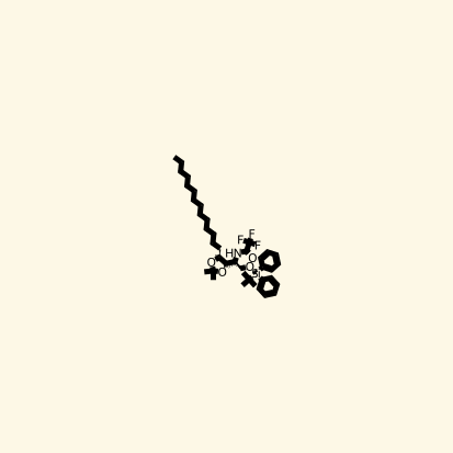 CCCCCCCCCCCCCC[C@H]1OC(C)(C)O[C@H]1[C@H](CO[Si](c1ccccc1)(c1ccccc1)C(C)(C)C)NC(=O)C(F)(F)F